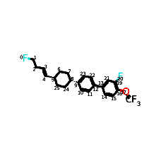 FCCC=C[C@H]1CC[C@H](c2ccc(-c3ccc(OC(F)(F)F)c(F)c3)cc2)CC1